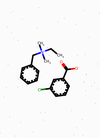 CC[N+](C)(C)Cc1ccccc1.O=C([O-])c1cccc(Cl)c1